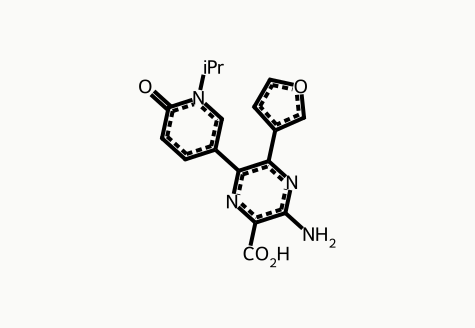 CC(C)n1cc(-c2nc(C(=O)O)c(N)nc2-c2ccoc2)ccc1=O